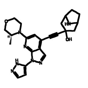 C[C@@H]1COCCN1c1cc(C#CC2(O)CC3CCC(C2)N3)c2cnn(-c3ccn[nH]3)c2n1